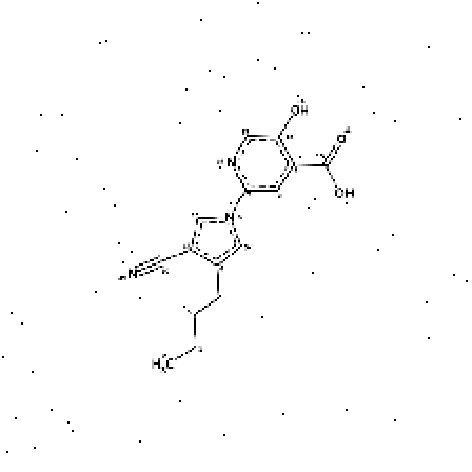 CCCCc1cn(-c2cc(C(=O)O)c(O)cn2)cc1C#N